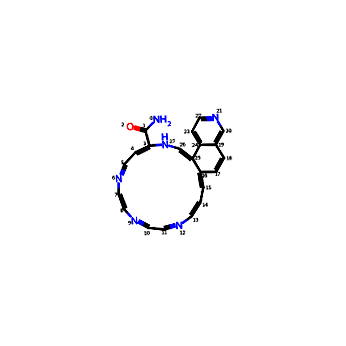 NC(=O)c1ccnccnccncccc2ccc3cnccc3c2c[nH]1